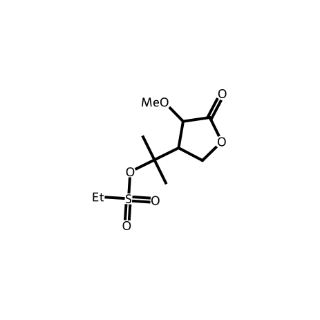 CCS(=O)(=O)OC(C)(C)C1COC(=O)C1OC